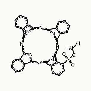 O=S(=O)([O][AlH][Cl])c1cccc2c3nc4nc(nc5[nH]c(nc6nc(nc([nH]3)c12)-c1ccccc1-6)c1ccccc51)-c1ccccc1-4